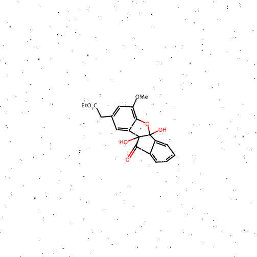 CCOC(=O)Cc1cc(OC)c2c(c1)C1(O)C(=O)c3ccccc3C1(O)O2